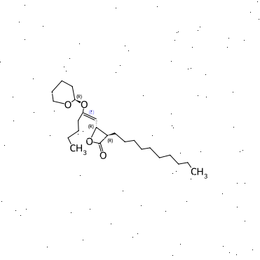 CCCCCCCCCC[C@H]1C(=O)O[C@@H]1/C=C(\CCCC)O[C@@H]1CCCCO1